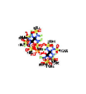 CCCCCCCCS(=O)(=O)N(F)C(N(F)S(=O)(=O)CCCCCCCC)(N(F)S(=O)(=O)CCCCCCCC)C(OOP(=O)(O)OOC(N(F)S(=O)(=O)CCCC)(C(N(F)S(=O)(=O)CCCC)(N(F)S(=O)(=O)CCCC)N(F)S(=O)(=O)CCCC)[N+](C)(F)S(=O)(=O)CCCC)(N(F)S(=O)(=O)CCCCCCCC)[N+](C)(F)S(=O)(=O)CCCCCCCC